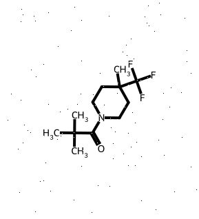 CC(C)(C)C(=O)N1CCC(C)(C(F)(F)F)CC1